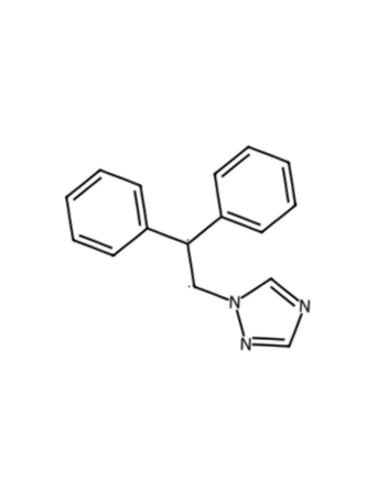 [CH]([C](c1ccccc1)c1ccccc1)n1cncn1